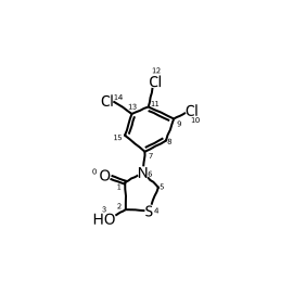 O=C1C(O)SCN1c1cc(Cl)c(Cl)c(Cl)c1